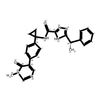 C[C@@H](c1ccccc1)c1nnc(C(=O)NC2(c3ccc(-c4cncn(C)c4=O)cc3)CC2)[nH]1